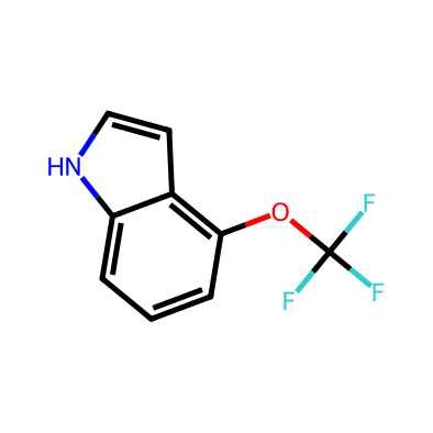 FC(F)(F)Oc1cccc2[nH]ccc12